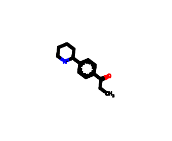 CCC(=O)c1ccc(C2CCCC[N]2)cc1